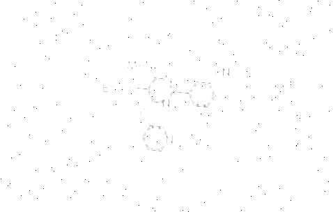 CCOC(=O)c1c(NC)nc(-c2cccc(C#N)c2)nc1Oc1cccnc1